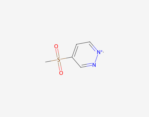 CS(=O)(=O)C1=CC=[N+]N=C1